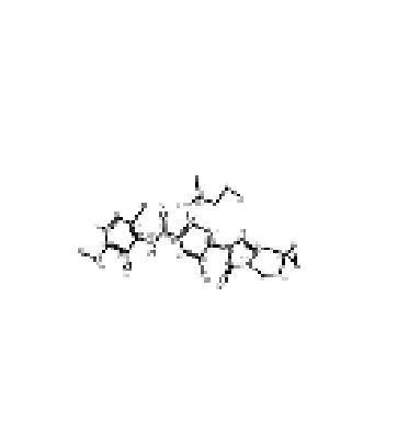 CCC[C@H](C)Oc1nc(-n2nc3n(c2=O)CCC2(CC2)C3)c(F)cc1C(=O)Nc1c(C)cnc(OC)c1Cl